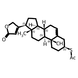 CC(=O)S[C@H]1CC[C@@]2(C)C(=CC[C@H]3[C@@H]4CC[C@H](C5=CC(=O)OC5)[C@@]4(C)CC[C@@H]32)C1